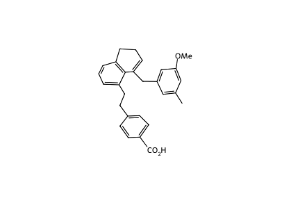 COc1cc(C)cc(CC2=CCCc3cccc(CCc4ccc(C(=O)O)cc4)c32)c1